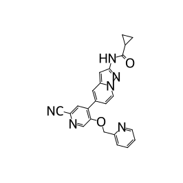 N#Cc1cc(-c2ccn3nc(NC(=O)C4CC4)cc3c2)c(OCc2ccccn2)cn1